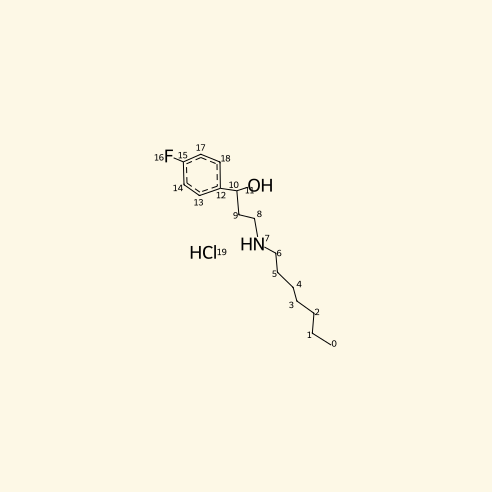 CCCCCCCNCCC(O)c1ccc(F)cc1.Cl